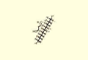 COCCO.FC(F)(F)C(F)(F)C(F)(F)C(F)(F)C(F)(F)C(F)(F)C(F)(F)C(F)(F)C(F)(F)F